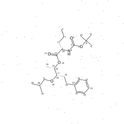 CCC[C@H](NC(=O)OC(C)(C)C)C(=O)O[C@@H](C)[C@H](CCc1ccccc1)OCC(C)C